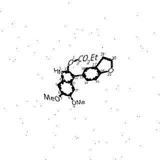 CCOC(=O)Oc1[nH]c2cc(OC)c(OC)cc2c1-c1ccc2c(c1)CCO2